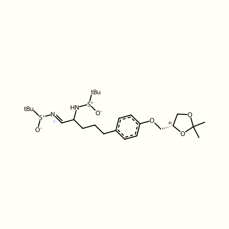 CC1(C)OC[C@@H](COc2ccc(CCCC(/C=N/[S+]([O-])C(C)(C)C)N[S+]([O-])C(C)(C)C)cc2)O1